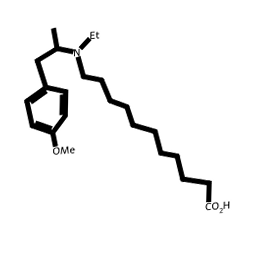 CCN(CCCCCCCCCCC(=O)O)C(C)Cc1ccc(OC)cc1